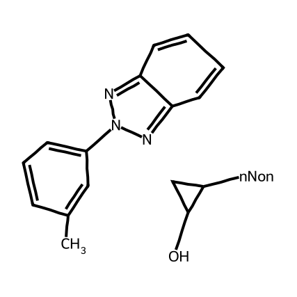 CCCCCCCCCC1CC1O.Cc1cccc(-n2nc3ccccc3n2)c1